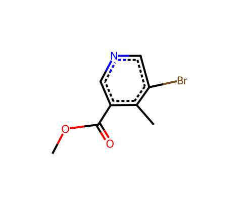 COC(=O)c1cncc(Br)c1C